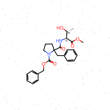 COC(=O)[C@@H](NC(=O)C1(Cc2ccccc2)CCCN1C(=O)OCc1ccccc1)[C@@H](C)O